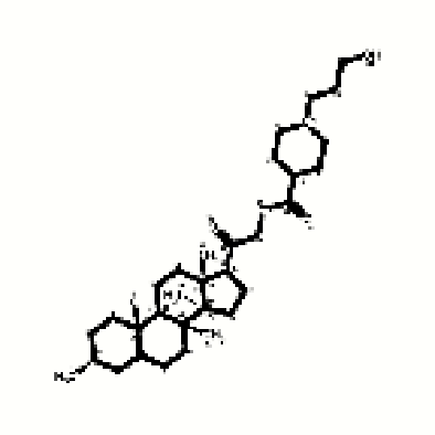 C[C@H]1CC[C@@]2(C)C(CC[C@]3(C)C2CC[C@]2(C)[C@@H](C(=O)COC(=O)C4CCN(CCCO)CC4)CC[C@@]32C)C1